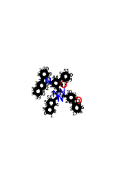 c1ccc2cc(-c3nc(-c4ccc5oc6ccccc6c5c4)nc(-c4cc(-n5c6ccccc6c6cc7ccccc7cc65)cc5c4oc4ccccc45)n3)ccc2c1